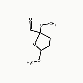 COC1C[CH]C(C=O)(OC)O1